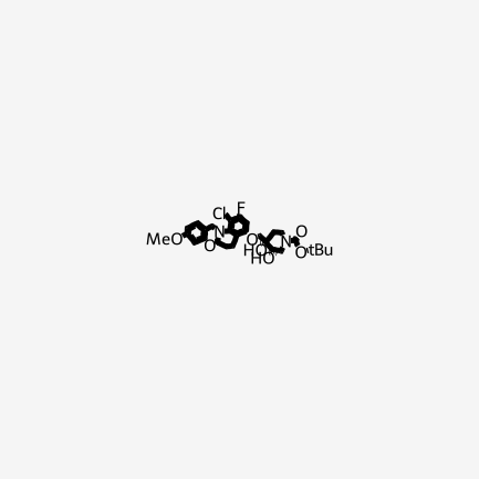 COc1ccc(CN2C(=O)CCc3c(OC[C@]4(O)CCN(C(=O)OC(C)(C)C)C[C@H]4O)cc(F)c(Cl)c32)cc1